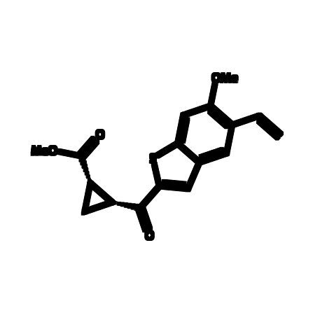 C=Cc1cc2cc(C(=O)[C@@H]3C[C@@H]3C(=O)OC)sc2cc1OC